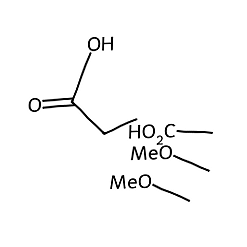 CC(=O)O.CCC(=O)O.COC.COC